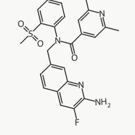 Cc1cc(C(=O)N(Cc2ccc3cc(F)c(N)nc3c2)c2ccccc2S(C)(=O)=O)cc(C)n1